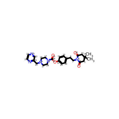 CC1(C)CC(=O)N(CCc2ccc(OC(=O)N3CCN(Cc4cnccn4)CC3)cc2)C(=O)C1